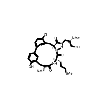 CNCCC[C@@H]1NC(=O)[C@@H](NC)Cc2cc(ccc2O)-c2ccc(Cl)c(c2)C[C@@H](C(=O)NC[C@@H](CO)NC)N(C)C1=O